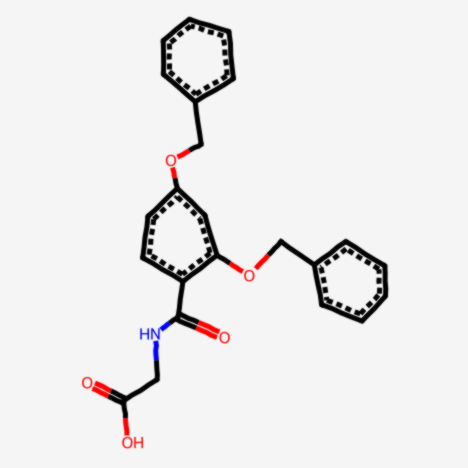 O=C(O)CNC(=O)c1ccc(OCc2ccccc2)cc1OCc1ccccc1